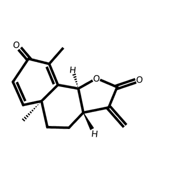 C=C1C(=O)O[C@@H]2C3=C(C)C(=O)C=C[C@]3(C)CC[C@@H]12